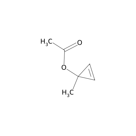 CC(=O)OC1(C)C=C1